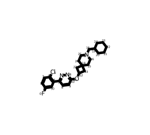 Fc1ccc(Cl)c(-c2ccc(OC3CC4(CCN(CC5CCCCC5)CC4)C3)nn2)c1